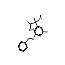 COC(C)(c1cc(F)cc(OCc2ccccc2)c1)C(C)O